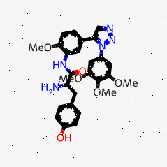 COc1ccc(-c2cnnn2-c2cc(OC)c(OC)c(OC)c2)cc1NC(=O)C(N)Cc1ccc(O)cc1